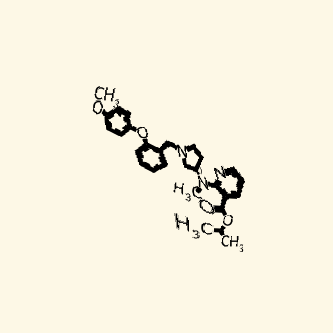 COc1ccc(Oc2ccccc2CN2CC[C@H](N(C)c3ncccc3C(=O)OC(C)C)C2)cc1